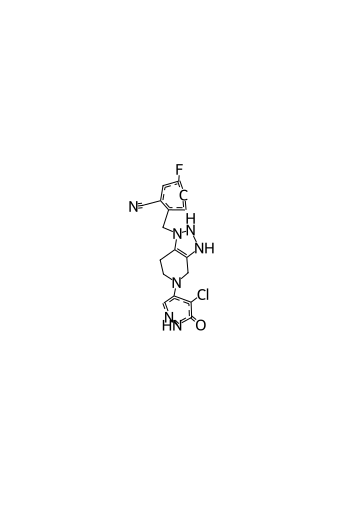 N#Cc1cc(F)ccc1CN1NNC2=C1CCN(c1cn[nH]c(=O)c1Cl)C2